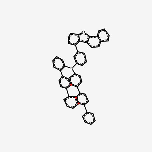 c1ccc(-c2ccc(-c3ccc(N(c4cccc(-c5cccc6oc7c8ccccc8ccc7c56)c4)c4ccccc4-c4ccc(-c5ccccc5)cc4)cc3)cc2)cc1